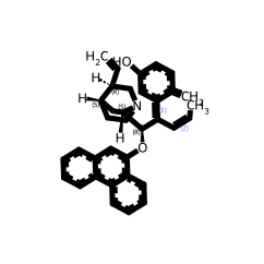 C=C[C@H]1CN2CC[C@H]1C[C@H]2[C@H](Oc1cc2ccccc2c2ccccc12)C(/C=C\C)=c1\cc(O)ccc1=C